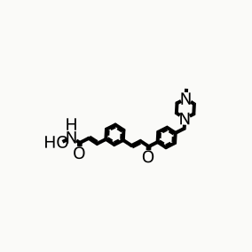 CN1CCN(Cc2ccc(C(=O)C=Cc3cccc(C=CC(=O)NO)c3)cc2)CC1